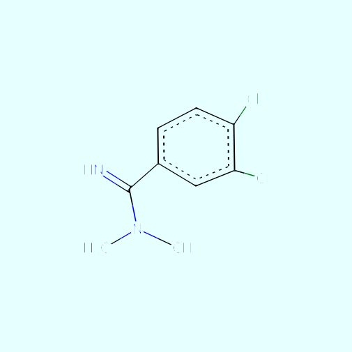 CN(C)C(=N)c1ccc(Cl)c(Cl)c1